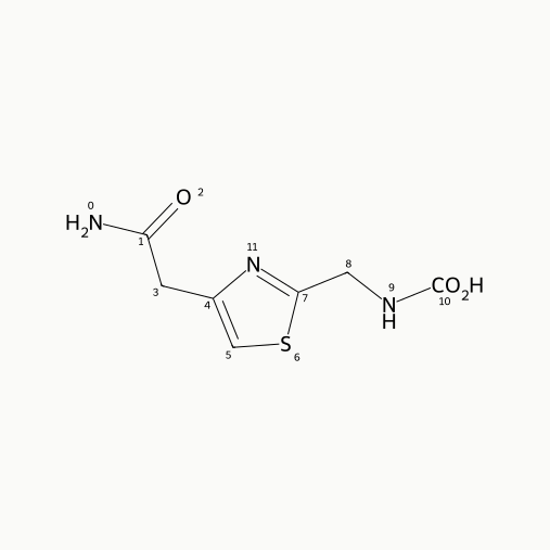 NC(=O)Cc1csc(CNC(=O)O)n1